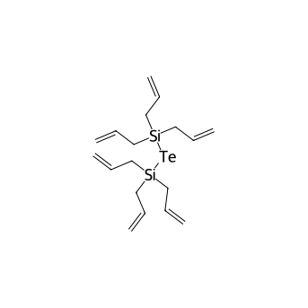 C=CC[Si](CC=C)(CC=C)[Te][Si](CC=C)(CC=C)CC=C